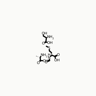 CSCC[C@H](NC=O)C(=O)O.C[C@H](N)C(=O)O.N[C@@H](CO)C(=O)O